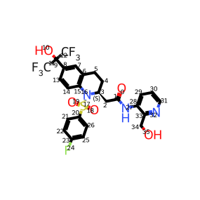 O=C(C[C@@H]1CCc2cc(C(O)(C(F)(F)F)C(F)(F)F)ccc2N1S(=O)(=O)c1ccc(F)cc1)Nc1cccnc1CO